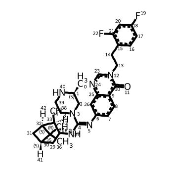 C[C@H]1CN(C(=Nc2ccc3c(=O)n(CCc4ccc(F)cc4F)cnc3c2)NC2C[C@@H]3C[C@@H]([C@H]2C)C3(C)C)CCN1